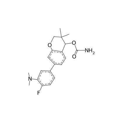 CN(C)c1cc(-c2ccc3c(c2)OCC(C)(C)C3OC(N)=O)ccc1F